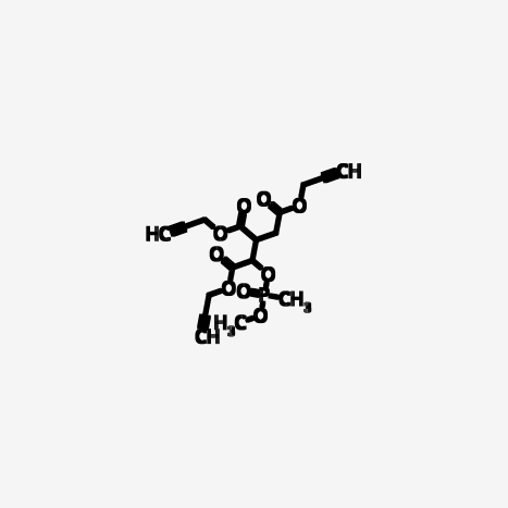 C#CCOC(=O)CC(C(=O)OCC#C)C(OP(C)(=O)OC)C(=O)OCC#C